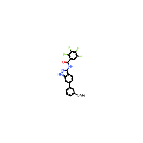 COc1cccc(-c2ccc3c(NC(=O)c4cc(F)c(F)c(F)c4F)n[nH]c3c2)c1